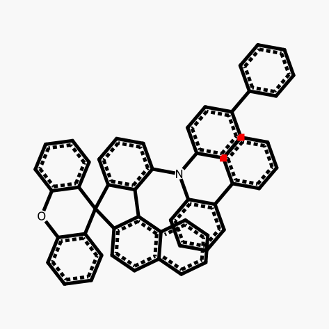 c1ccc(-c2ccc(N(c3ccccc3-c3ccccc3)c3cccc4c3-c3c(ccc5ccccc35)C43c4ccccc4Oc4ccccc43)cc2)cc1